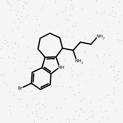 NCCC(N)C1CCCCc2c1[nH]c1ccc(Br)cc21